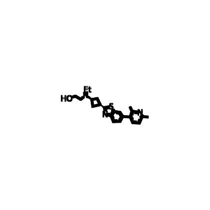 CCN(CCO)[C@H]1C[C@H](c2nc3ccc(-c4ccc(C)nc4C)cc3s2)C1